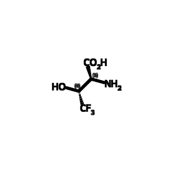 N[C@H](C(=O)O)[C@@H](O)C(F)(F)F